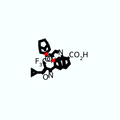 O=C(O)c1cccc2nc(SC3C4CCC3CC(OCc3c(-c5ccccc5OC(F)(F)F)noc3C3CC3)C4)cnc12